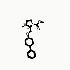 COC(=O)N1CC[C@H](C)[C@@H]1COC1CCC(c2ccccc2)CC1